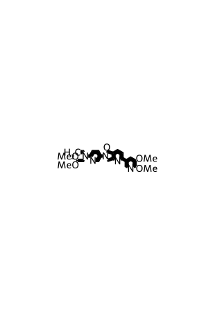 C=CN(CC(OC)OC)c1ccc(N2Cc3nc(-c4cnc(OC)c(OC)c4)ccc3C2=O)cn1